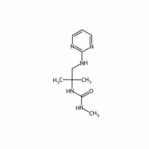 CNC(=O)NC(C)(C)CNc1ncccn1